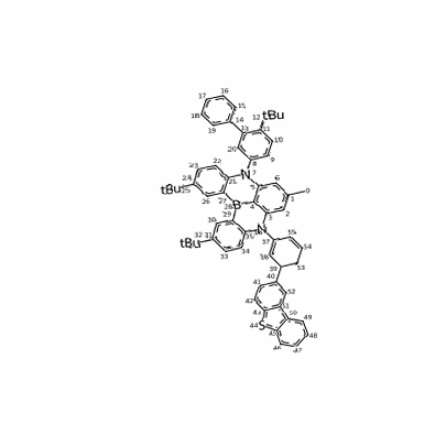 Cc1cc2c3c(c1)N(c1ccc(C(C)(C)C)c(-c4ccccc4)c1)c1ccc(C(C)(C)C)cc1B3c1cc(C(C)(C)C)ccc1N2C1=CC(c2ccc3sc4ccccc4c3c2)CC=C1